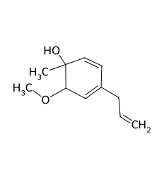 C=CCC1=CC(OC)C(C)(O)C=C1